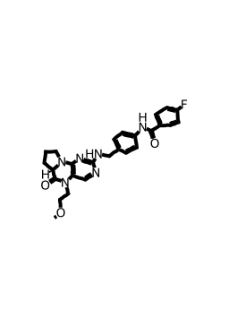 COCCN1C(=O)[C@H]2CCCN2c2nc(NCc3ccc(NC(=O)c4ccc(F)cc4)cc3)ncc21